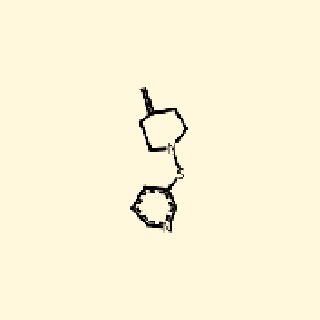 C=C1CCN(Sc2cccnc2)CC1